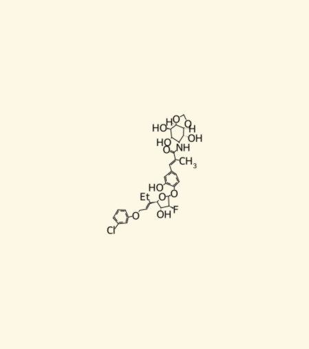 CC/C(=C\COc1cccc(Cl)c1)[C@H]1O[C@@H](Oc2ccc(/C=C(\C)C(=O)N[C@@H]3[C@H](O)[C@@H](O)[C@H]4OCO[C@H]4[C@@H]3O)cc2O)[C@@H](F)[C@@H]1O